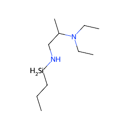 CCC[SiH2]NCC(C)N(CC)CC